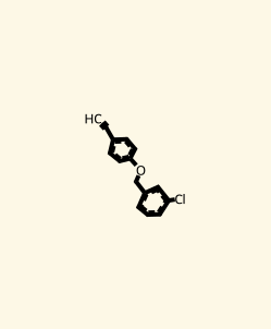 C#Cc1ccc(OCc2cccc(Cl)c2)cc1